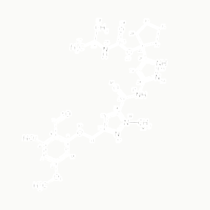 COc1cc(O)c(C=O)c(OCc2cc(C(=O)Nc3cc(C4(OC(=O)NC(C)C)CCCC4)[nH]n3)n(C)n2)c1